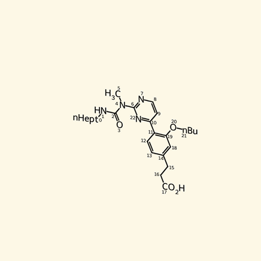 CCCCCCCNC(=O)N(C)c1nccc(-c2ccc(CCC(=O)O)cc2OCCCC)n1